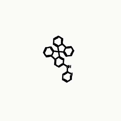 c1ccc(Nc2ccc3c(c2)C2(c4ccccc4-c4ccccc42)c2ccccc2-3)nc1